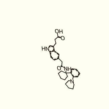 O=C(O)CCc1c[nH]c2ccc(CC(=O)NC3(c4ccccc4N4CCCCC4)CCCCC3)cc12